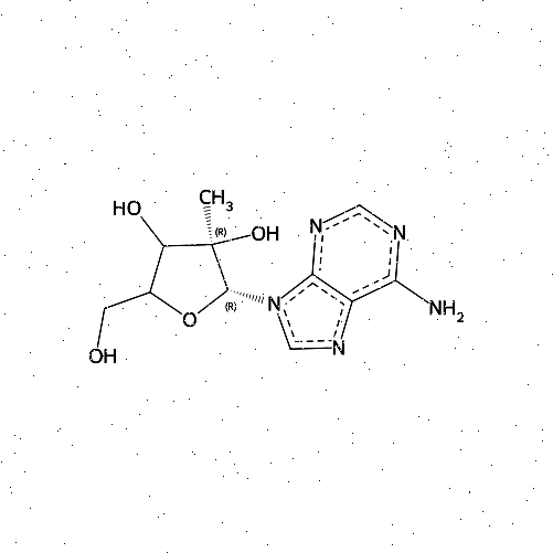 C[C@@]1(O)C(O)C(CO)O[C@H]1n1cnc2c(N)ncnc21